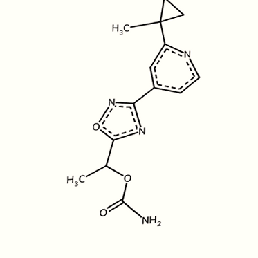 CC(OC(N)=O)c1nc(-c2ccnc(C3(C)CC3)c2)no1